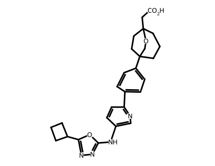 O=C(O)CC12CCCC(c3ccc(-c4ccc(Nc5nnc(C6CCC6)o5)cn4)cc3)(CC1)CO2